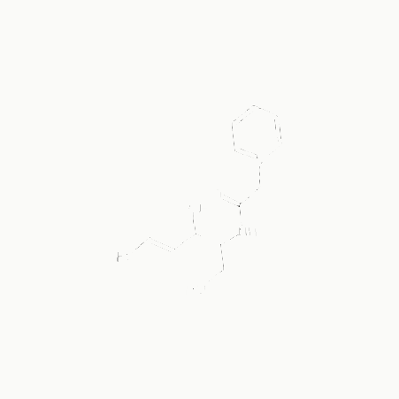 CC/C=C/C(O)C(CO)NC(=O)C[n+]1ccccc1